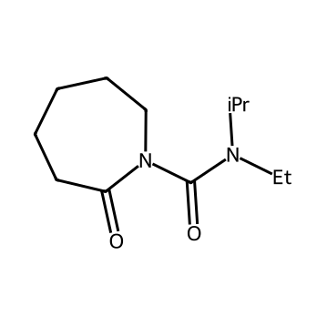 CCN(C(=O)N1CCCCCC1=O)C(C)C